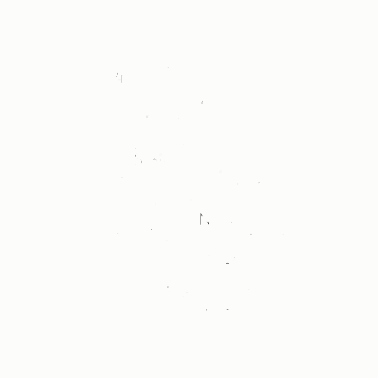 Brc1cccc(-c2cc3c4ccccc4n(-c4cccc5ccccc45)c3c3c2sc2ccccc23)c1